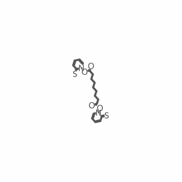 O=C(CCCCCCCC(=O)On1ccccc1=S)On1ccccc1=S